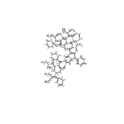 Cc1cc2c(cc1B1c3ccccc3N(C(C)C)c3cc(N(C(C)C)C4(C)C=CC=CC4)cc(C)c31)c1cc3c(cc1n2-c1ccccc1)Sc1cc(N(c2ccccc2)C(C)C)cc2c1B3c1ccccc1N2C(C)C